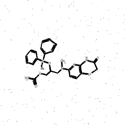 CN(CC(COC(N)=O)O[Si](c1ccccc1)(c1ccccc1)C(C)(C)C)c1ccc2c(n1)NC(=O)CO2